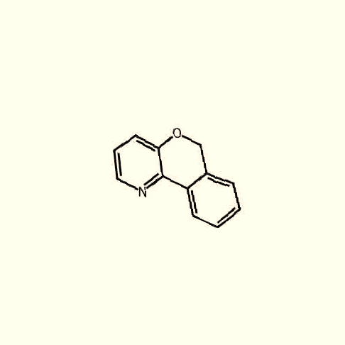 c1ccc2c(c1)COc1cccnc1-2